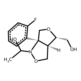 CC(O)N1OC[C@@H]2[C@@H](CO)OC[C@@]21c1ccccc1F